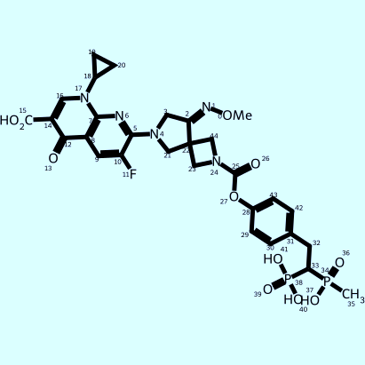 CO/N=C1/CN(c2nc3c(cc2F)c(=O)c(C(=O)O)cn3C2CC2)CC12CN(C(=O)Oc1ccc(CC(P(C)(=O)O)P(=O)(O)O)cc1)C2